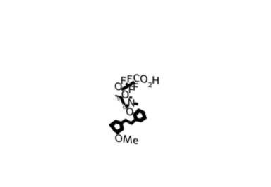 COc1cccc(CCc2ccccc2O[C@@H](C[C@@H](C)OC(=O)C(F)(F)C(F)(F)C(=O)O)N(C)C)c1